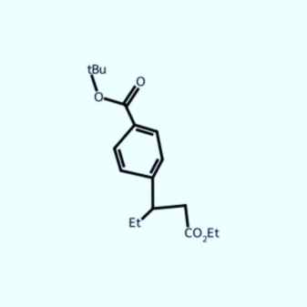 CCOC(=O)CC(CC)c1ccc(C(=O)OC(C)(C)C)cc1